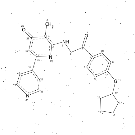 Cn1c(NCC(=O)c2ccc(OC3CCCC3)cc2)nc(-c2ccncc2)cc1=O